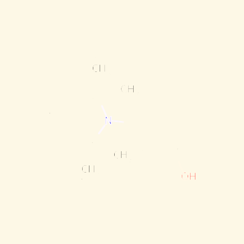 CC1(C)CCCC(C)(C)N1CCCO